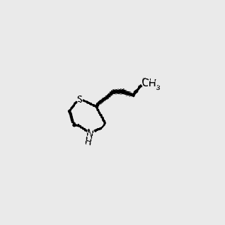 CCCC1CNCCS1